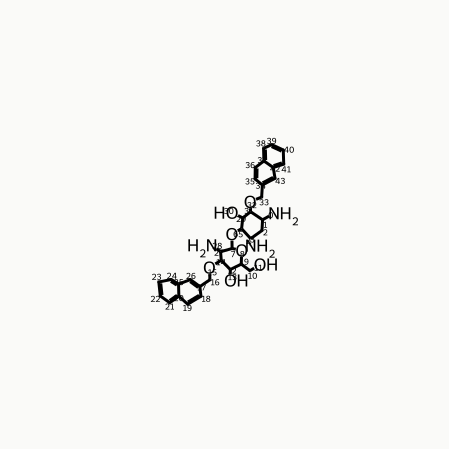 NC1CC(N)C(OC2OC(CO)C(O)C(OCc3ccc4ccccc4c3)C2N)C(O)C1OCc1ccc2ccccc2c1